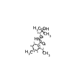 CCc1cc(C)ccc1C(=O)NOCC(C)(C)O